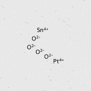 [O-2].[O-2].[O-2].[O-2].[Pt+4].[Sn+4]